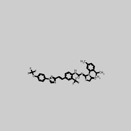 Cc1ccc(C(C)C)c(N2C(=O)CSC2=NC(=O)Nc2ccc(C=Cc3ncn(-c4ccc(OC(F)(F)F)cc4)n3)cc2C(F)(F)F)c1